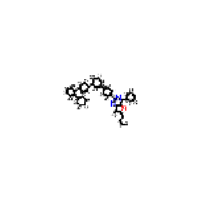 C/C=C\C=C1\Oc2c(-c3ccccc3)nc(-c3ccc(-c4cccc(-c5ccc(-c6ccccc6C6CCCCC6)cc5)c4)cc3)nc2C1C